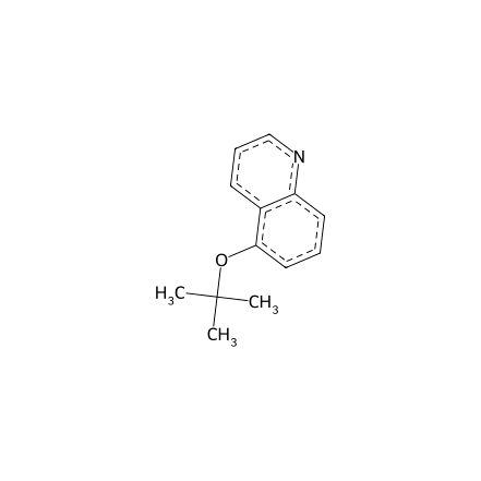 CC(C)(C)Oc1cccc2ncccc12